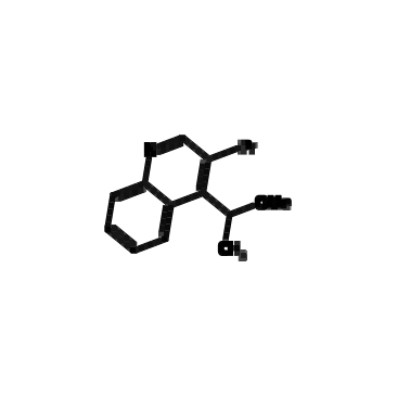 COC(C)c1c(C(C)C)cnc2ccccc12